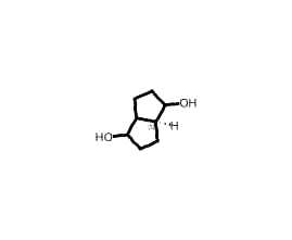 OC1CC[C@@H]2C(O)CCC12